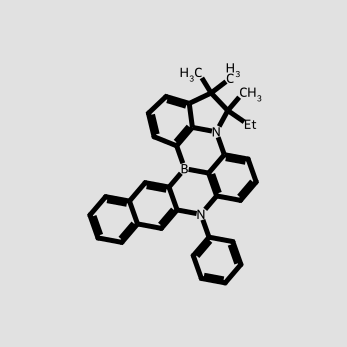 CCC1(C)N2c3cccc4c3B(c3cc5ccccc5cc3N4c3ccccc3)c3cccc(c32)C1(C)C